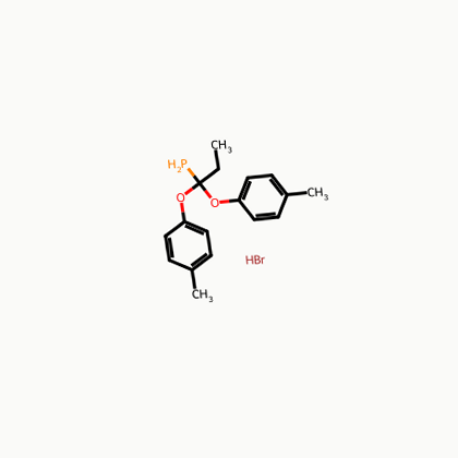 Br.CCC(P)(Oc1ccc(C)cc1)Oc1ccc(C)cc1